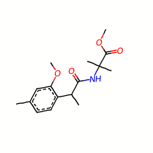 COC(=O)C(C)(C)NC(=O)C(C)c1ccc(C)cc1OC